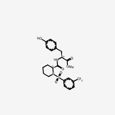 COC(=O)[C@H](Cc1ccc(O)cc1)NC(=O)[C@@H]1CCCCN1S(=O)(=O)c1cccc(C(F)(F)F)c1